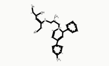 Cc1ccc(C2=CC(c3ccccc3)N(C[C@@H](C)CO/C(=C\C(O)CC(C)C)CC(C)C)C=C2)cc1